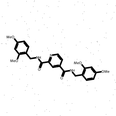 COc1ccc(CNC(=O)c2ccnc(C(=O)NCc3ccc(OC)cc3OC)c2)c(OC)c1